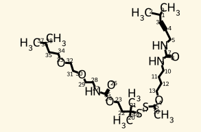 CC(C)C#CCNC(=O)NCCCCOC(C)SSC(C)(C)CCOC(=O)NCCOCCOCCC(C)C